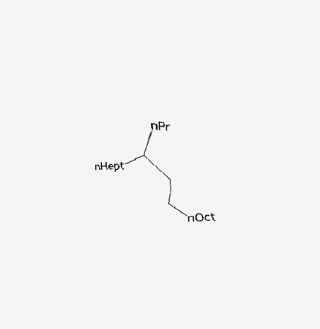 [CH2]CCC(CCCCCCC)CCCCCCCCCC